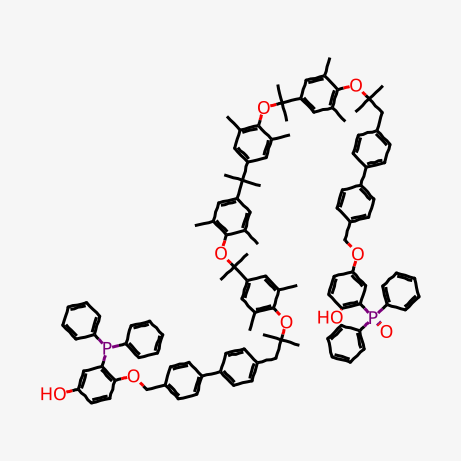 Cc1cc(C(C)(C)Oc2c(C)cc(C(C)(C)c3cc(C)c(OC(C)(C)c4cc(C)c(OC(C)(C)Cc5ccc(-c6ccc(COc7ccc(O)cc7P(c7ccccc7)c7ccccc7)cc6)cc5)c(C)c4)c(C)c3)cc2C)cc(C)c1OC(C)(C)Cc1ccc(-c2ccc(COc3ccc(O)c(P(=O)(c4ccccc4)c4ccccc4)c3)cc2)cc1